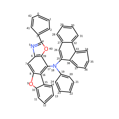 c1ccc(-c2nc3cc4oc5ccccc5c4c(N(c4ccccc4)c4cc5ccccc5c5ccccc45)c3o2)cc1